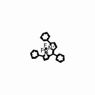 F[B-]1(F)n2c(ccc2-c2ccccc2)C(c2ccccc2)=C2C=CC(c3ccccc3)=[N+]21